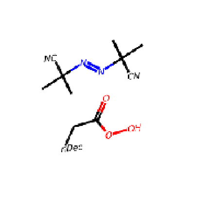 CC(C)(C#N)N=NC(C)(C)C#N.CCCCCCCCCCCC(=O)OO